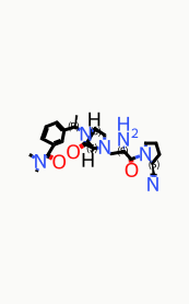 C[C@H](c1cccc(C(=O)N(C)C)c1)N1C(=O)[C@@H]2C[C@H]1CN2C[C@H](N)C(=O)N1CCC[C@H]1C#N